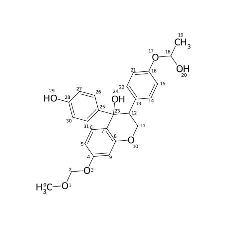 COCOc1ccc2c(c1)OCC(c1ccc(OC(C)O)cc1)C2(O)c1ccc(O)cc1